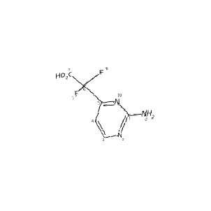 Nc1nccc(C(F)(F)C(=O)O)n1